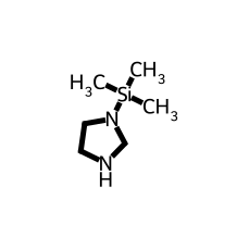 C[Si](C)(C)N1CCNC1